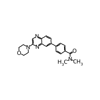 CN(C)C(=O)c1ccc(-c2ccc3ncc(N4CCOCC4)nc3c2)cc1